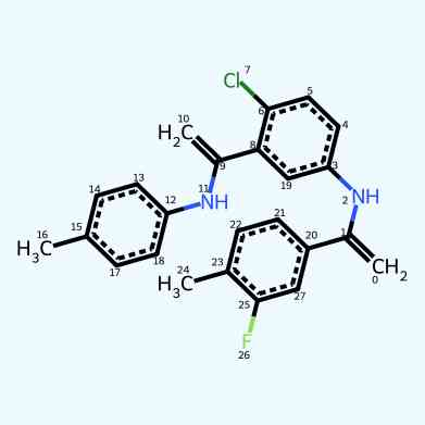 C=C(Nc1ccc(Cl)c(C(=C)Nc2ccc(C)cc2)c1)c1ccc(C)c(F)c1